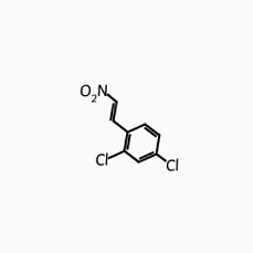 O=[N+]([O-])C=Cc1ccc(Cl)cc1Cl